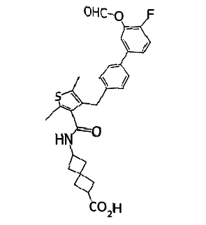 Cc1sc(C)c(C(=O)NC2CC3(C2)CC(C(=O)O)C3)c1Cc1ccc(-c2ccc(F)c(OC=O)c2)cc1